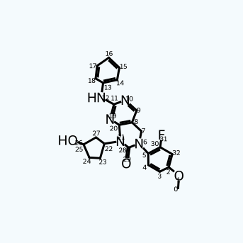 COc1ccc(N2Cc3cnc(Nc4ccccc4)nc3N(C3CCC(O)C3)C2=O)c(F)c1